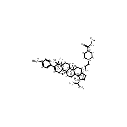 C=C(C)[C@@H]1CC[C@]2(NCCN3CCN(C(=O)OC(C)(C)C)CC3)CC[C@]3(C)[C@H](CC[C@@H]4[C@@]5(C)CC=C(c6ccc(C(=O)O)cc6)C(C)(C)[C@@H]5CC[C@]43C)[C@@H]12